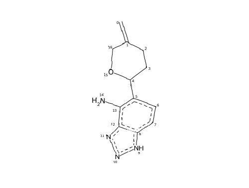 C=C1CCC(c2ccc3[nH]nnc3c2N)OC1